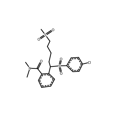 CN(C)C(=O)c1ccccc1C(CCCCS(C)(=O)=O)S(=O)(=O)c1ccc(Cl)cc1